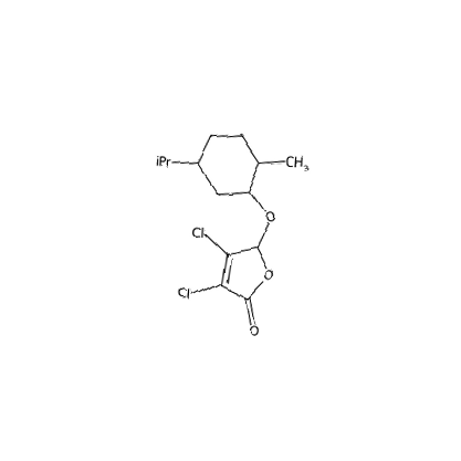 CC(C)C1CCC(C)C(OC2OC(=O)C(Cl)=C2Cl)C1